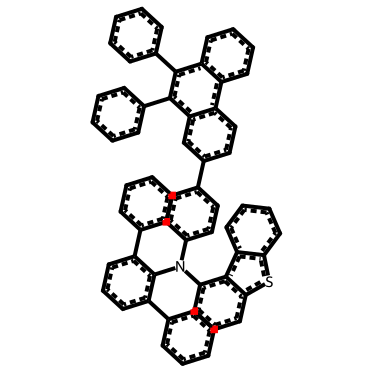 c1ccc(-c2cccc(-c3ccccc3)c2N(c2ccc(-c3ccc4c(c3)c(-c3ccccc3)c(-c3ccccc3)c3ccccc34)cc2)c2cccc3sc4ccccc4c23)cc1